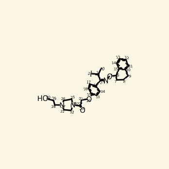 CC(I)C(=NOC1CCCc2ccccc21)c1ccc(OCC(=O)N2CCN(CCO)CC2)cc1